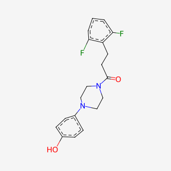 O=C(CCc1c(F)cccc1F)N1CCN(c2ccc(O)cc2)CC1